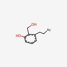 CC(=O)CCc1cccc(O)c1CO